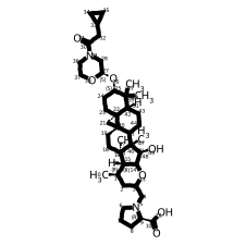 C[C@@H]1CC(CN2CCC[C@@H]2C(=O)O)OC2[C@H]1[C@@]1(C)CC[C@@]34C[C@@]35CC[C@H](O[C@H]3CN(C(=O)CC6CC6)CCO3)C(C)(C)[C@@H]5CCC4[C@]1(C)[C@H]2O